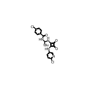 CC(C)(C)C(NC(=O)c1ccc(Cl)cc1)Nc1c(Nc2ccc(Cl)nc2)c(=O)c1=O